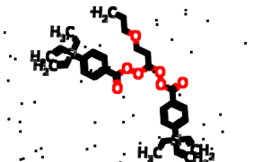 [CH2]CCOCC[C](OOC(=O)c1ccc([Si](C=C)(C=C)CC)cc1)OOC(=O)c1ccc([Si](C=C)(C=C)CC)cc1